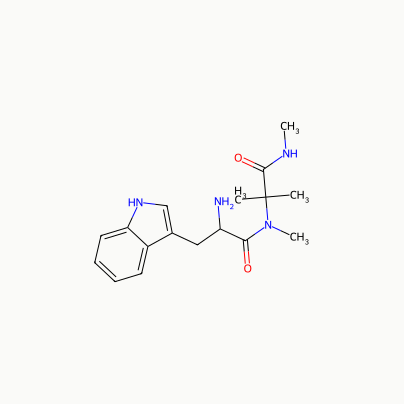 CNC(=O)C(C)(C)N(C)C(=O)C(N)Cc1c[nH]c2ccccc12